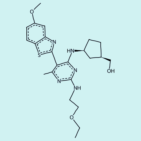 CCOCCNc1nc(C)c(-c2nc3cc(OC)ccc3s2)c(N[C@H]2CC[C@@H](CO)C2)n1